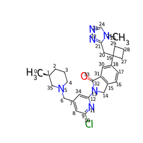 C[C@H]1CCCN(Cc2cc(Cl)nc(N3Cc4ccc(C5(Cc6nncn6C)CCC5)cc4C3=O)c2)C1